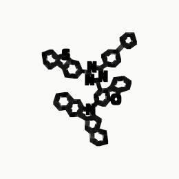 c1ccc(-c2ccc(-c3nc(-c4ccc5c(c4)sc4ccccc45)nc(-c4cc(-n5c6cc7ccccc7cc6c6cc7ccccc7cc65)cc5oc6ccccc6c45)n3)cc2)cc1